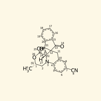 C[C@H]1CN2c3ccc(C#N)cc3CC3(C(=O)c4ccccc4C3=O)[C@H]2[C@@H](C)O1